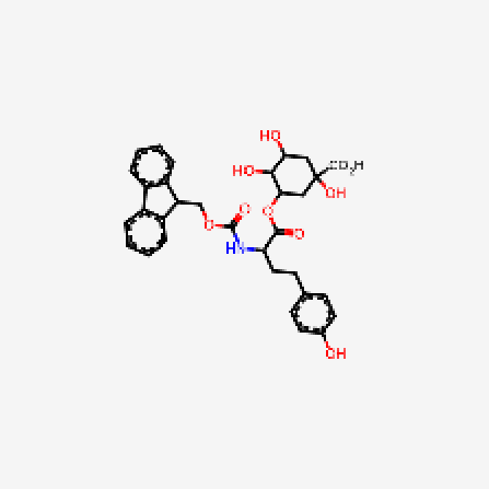 O=C(NC(CCc1ccc(O)cc1)C(=O)OC1CC(O)(C(=O)O)CC(O)C1O)OCC1c2ccccc2-c2ccccc21